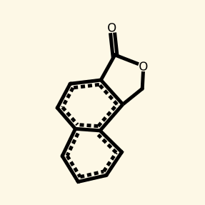 O=C1OCc2c1ccc1ccccc21